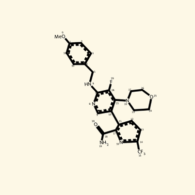 COc1ccc(CNc2ncc(-c3ccc(C(F)(F)F)nc3C(N)=O)c(N3CCOCC3)c2F)cc1